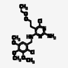 CCOOCCc1c(Cl)nc(N)nc1NCc1cc(OC)c(OC)c(OC)c1Cl